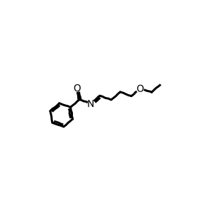 CCOCCCC=NC(=O)c1ccccc1